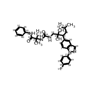 CC(C)CC(c1ccc2c(cnn2-c2ccc(F)cc2)c1)C(C)(C)CNC(=O)NC(C)(C)C(=O)Nc1ccccc1